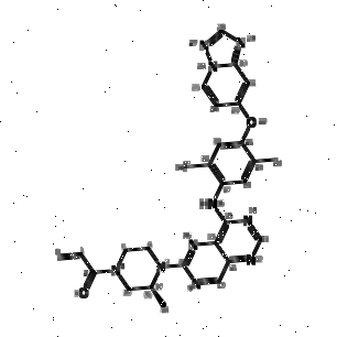 C=CC(=O)N1CCN(c2ncc3ncnc(Nc4cc(C)c(Oc5ccn6ncnc6c5)cc4F)c3n2)[C@@H](C)C1